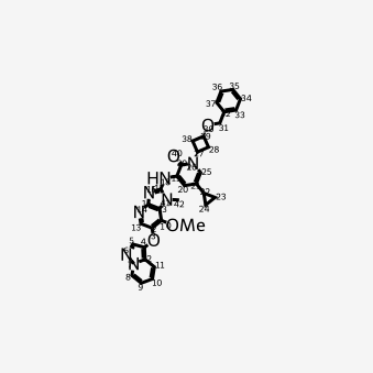 COc1c(Oc2cnn3ccccc23)cnc2nc(Nc3cc(C4CC4)cn([C@H]4C[C@@H](OCc5ccccc5)C4)c3=O)n(C)c12